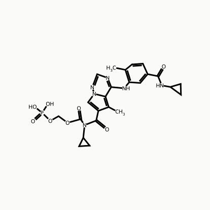 Cc1ccc(C(=O)NC2CC2)cc1Nc1ncnn2cc(C(=O)N(C(=O)OCOP(=O)(O)O)C3CC3)c(C)c12